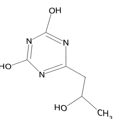 CC(O)Cc1nc(O)nc(O)n1